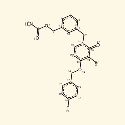 NC(=O)OCc1cccc(Cn2cnc(OCc3ccc(F)cc3)c(Br)c2=O)c1